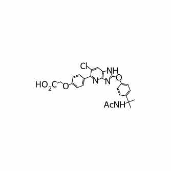 CC(=O)NC(C)(C)c1ccc(Oc2nc3nc(-c4ccc(OCC(=O)O)cc4)c(Cl)cc3[nH]2)cc1